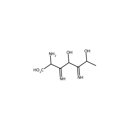 CC(O)C(=N)C(O)C(=N)C(N)C(=O)O